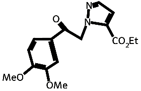 CCOC(=O)c1ccnn1CC(=O)c1ccc(OC)c(OC)c1